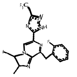 CC1N=C2C(Cc3ccccc3F)=NC(c3nc(C(F)(F)F)n[nH]3)=CN2C1I